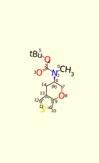 CN(C(=O)OC(C)(C)C)[C@H]1COc2cscc2C1